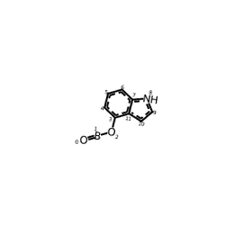 O=BOc1cccc2[nH]ccc12